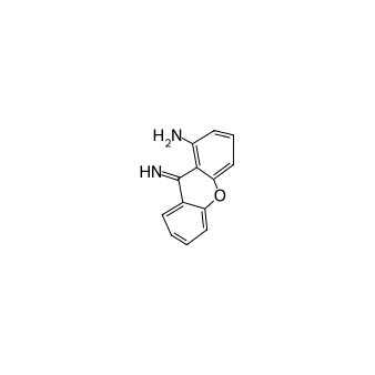 N=c1c2ccccc2oc2cccc(N)c12